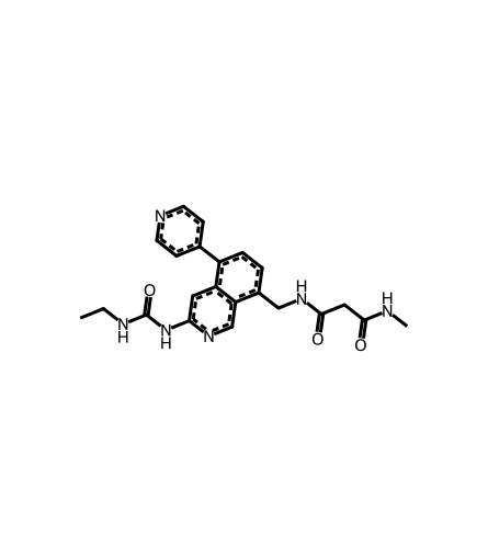 CCNC(=O)Nc1cc2c(-c3ccncc3)ccc(CNC(=O)CC(=O)NC)c2cn1